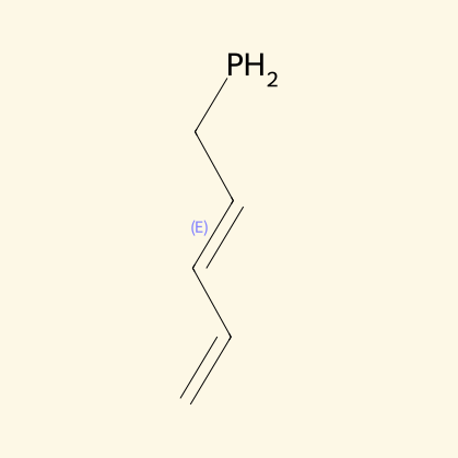 C=C/C=C/CP